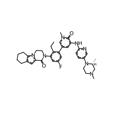 CCc1c(-c2cc(Nc3ccc(N4CCN(C)C[C@H]4C)cn3)c(=O)n(C)c2)cc(F)cc1N1CCn2c(cc3c2CCCC3)C1=O